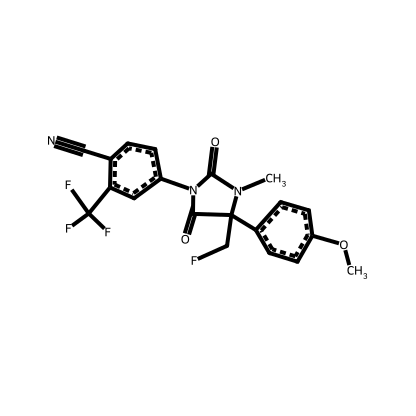 COc1ccc(C2(CF)C(=O)N(c3ccc(C#N)c(C(F)(F)F)c3)C(=O)N2C)cc1